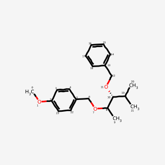 COc1ccc(COC(C)[C@H](OCc2ccccc2)C(C)C)cc1